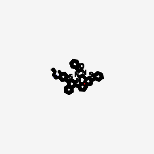 C=C/C=C\c1cc2c(cc1C)sc1c2c2ccccc2c2c3ccccc3n(-c3nc4c(nc3-c3cccc5c3sc3ccccc35)oc3ccccc34)c12